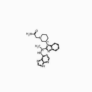 C[C@H](Nc1ncnc2[nH]cnc12)c1nc2ccccc2n1[C@@H]1CCCN(CC(N)=O)C1